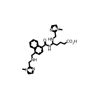 Cn1ccnc1CNCc1ccc(C(=O)NC(CCCC(=O)O)NCc2nccn2C)c2ccccc12